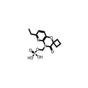 CCc1ccc2c(n1)N(COP(=O)(O)O)C(=O)C1(CCC1)O2